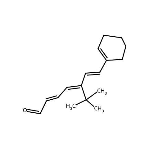 CC(C)(C)C(C=CC1=CCCCC1)=CC=CC=O